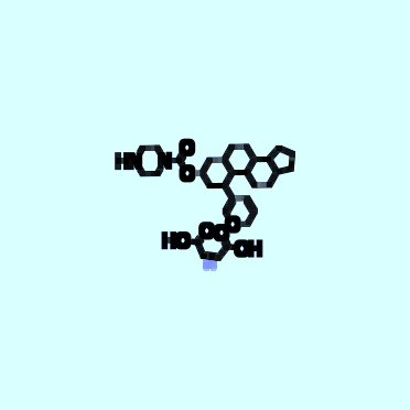 O=C(O)/C=C\C(=O)O.O=C(OC1CC2CCC3C4CCCC4CCC3C2C(C2=COCC=C2)C1)N1CCNCC1